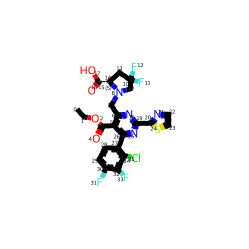 CCOC(=O)c1c(CN2CC(F)(F)C[C@H]2C(=O)O)nc(-c2nccs2)nc1-c1ccc(F)c(F)c1Cl